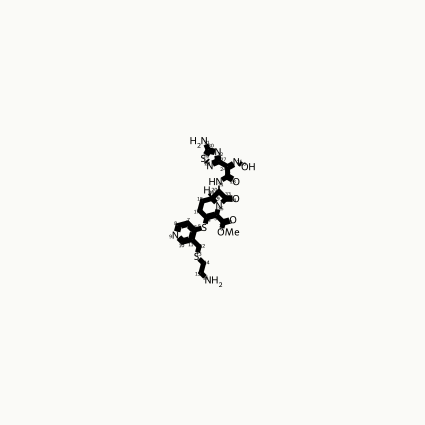 COC(=O)C1=C(Sc2ccncc2CSCCN)CC[C@@H]2[C@H](NC(=O)/C(=N\O)c3nsc(N)n3)C(=O)N12